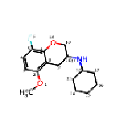 COc1ccc(F)c2c1CC(NC1CCCCC1)CO2